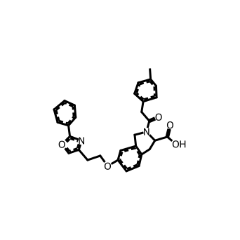 Cc1ccc(CC(=O)N2Cc3cc(OCCc4coc(-c5ccccc5)n4)ccc3CC2C(=O)O)cc1